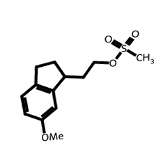 COc1ccc2c(c1)C(CCOS(C)(=O)=O)CC2